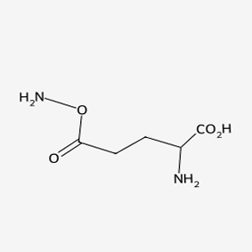 NOC(=O)CCC(N)C(=O)O